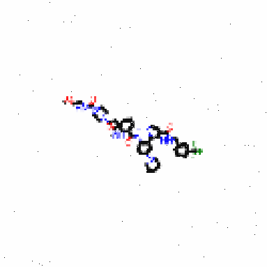 CNC(=O)C1(CCN2CCN(C(=O)NCCOC)CC2)C=CC=C(C(=O)Nc2ccc(N3CCCCC3)cc2-c2cc(C(=O)NCc3cccc(C(F)(F)F)c3)ccn2)C1